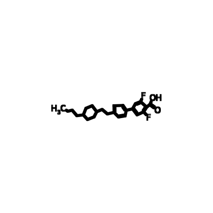 CCCCC1CCC(CCc2ccc(-c3cc(F)c(C(=O)O)c(F)c3)cc2)CC1